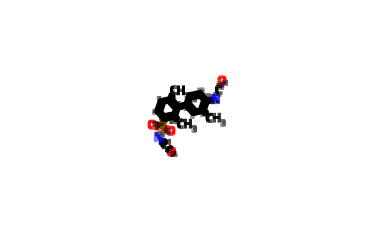 Cc1cc(-c2c(C)ccc(S(=O)(=O)N=C=O)c2C)ccc1N=C=O